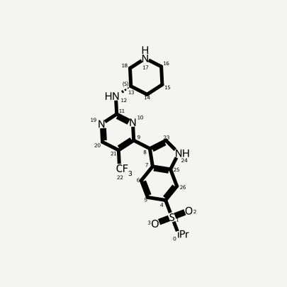 CC(C)S(=O)(=O)c1ccc2c(-c3nc(N[C@H]4CCCNC4)ncc3C(F)(F)F)c[nH]c2c1